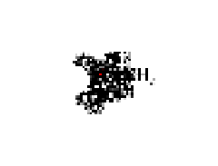 C=CC1CCC(C#N)C/C1=C(C#N)\C(=C(/Cn1c2ccccc2c2ccccc21)n1c2ccc(-c3ccccc3)cc2c2cc(-c3ccccc3)c3c(c4c(n3-c3ccccc3)CCC=C4)c21)n1c2ccccc2c2ccccc21